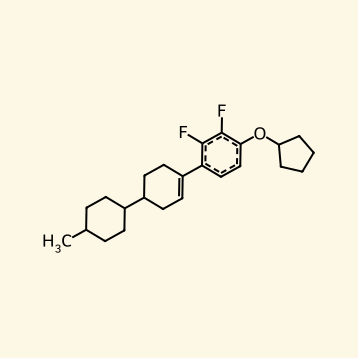 CC1CCC(C2CC=C(c3ccc(OC4CCCC4)c(F)c3F)CC2)CC1